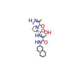 C[C@H](N)C(=O)N1CCC[C@H]1C(=O)N[C@@H](CO)C(=O)Nc1ccc2ccccc2c1